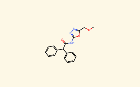 COCc1nnc(NC(=O)C(c2ccccc2)c2ccccc2)o1